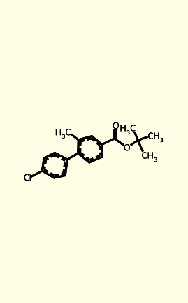 Cc1cc(C(=O)OC(C)(C)C)ccc1-c1ccc(Cl)cc1